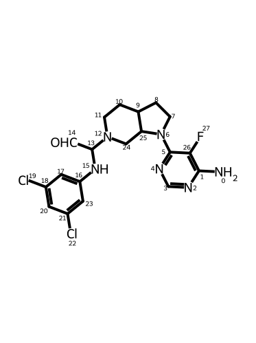 Nc1ncnc(N2CCC3CCN(C(C=O)Nc4cc(Cl)cc(Cl)c4)CC32)c1F